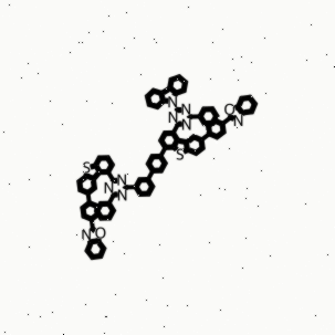 c1ccc(-c2nc(-c3cccc(-c4ccc(-c5ccc(-c6nc(-c7ccccc7)nc(-n7c8ccccc8c8ccccc87)n6)c6c5sc5ccc(-c7ccc(-c8nc9ccccc9o8)cc7)cc56)cc4)c3)nc(-c3cccc4sc5ccc(-c6ccc(-c7nc8ccccc8o7)cc6)cc5c34)n2)cc1